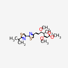 C=C(C)c1nc(-c2nc(/C=C/[C@H](OC)[C@@H](C)/C(=C\C(=O)OC)OC)cs2)cs1